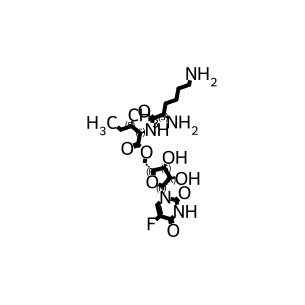 CC[C@H](C)[C@H](NC(=O)[C@@H](N)CCCCN)C(=O)OC[C@H]1O[C@@H](n2cc(F)c(=O)[nH]c2=O)[C@H](O)[C@@H]1O